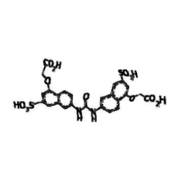 O=C(O)COc1cc(S(=O)(=O)O)cc2cc(NC(=O)Nc3ccc4c(OCC(=O)O)cc(S(=O)(=O)O)cc4c3)ccc12